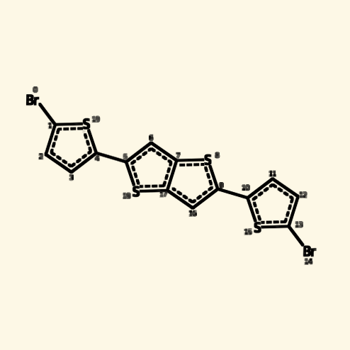 Brc1ccc(-c2cc3sc(-c4ccc(Br)s4)cc3s2)s1